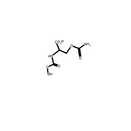 CC(C)(C)OC(=O)NC(COC(N)=O)C(=O)O